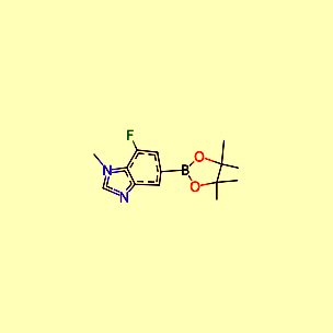 Cn1cnc2cc(B3OC(C)(C)C(C)(C)O3)cc(F)c21